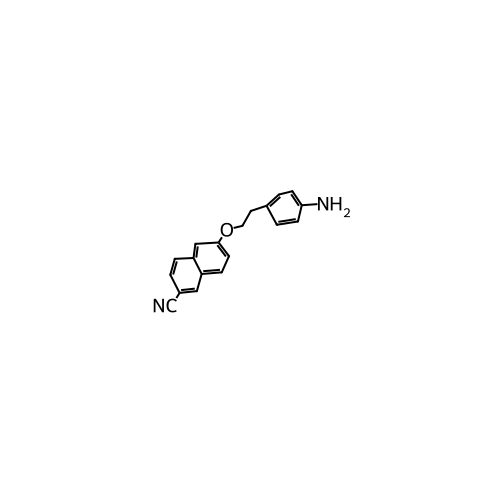 N#Cc1ccc2cc(OCCc3ccc(N)cc3)ccc2c1